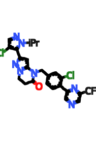 CC(C)n1ncc(Cl)c1-c1cc2n(n1)CCC(=O)N2Cc1ccc(-c2cncc(C(F)(F)F)n2)c(Cl)c1